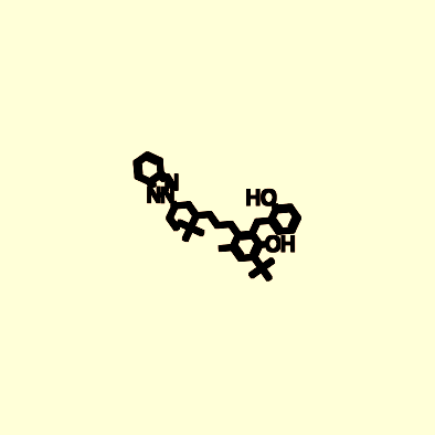 CCC(CC(CCCc1c(C)cc(C(C)(C)C)c(O)c1Cc1ccccc1O)C(C)(C)C)n1nc2ccccc2n1